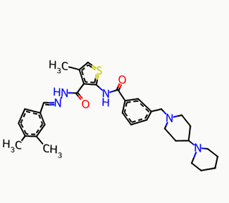 Cc1ccc(C=NNC(=O)c2c(C)csc2NC(=O)c2cccc(CN3CCC(N4CCCCC4)CC3)c2)cc1C